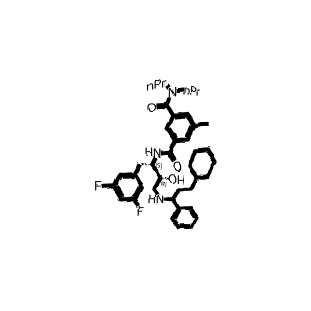 CCCN(CCC)C(=O)c1cc(C)cc(C(=O)N[C@@H](Cc2cc(F)cc(F)c2)[C@H](O)CNC(CCC2CCCCC2)c2ccccc2)c1